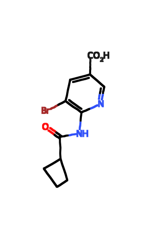 O=C(O)c1cnc(NC(=O)C2CCC2)c(Br)c1